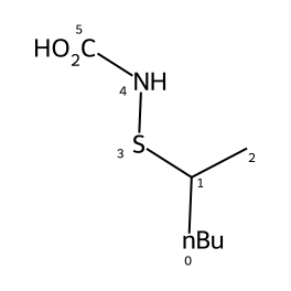 CCCCC(C)SNC(=O)O